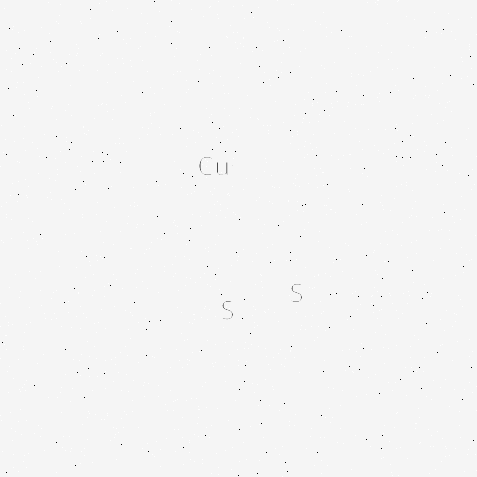 C1=CSSC1.[Cu]